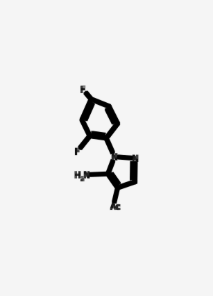 CC(=O)c1cnn(-c2ccc(F)cc2F)c1N